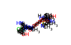 Cc1ncsc1-c1ccc([C@H](C)NC(=O)[C@@H]2C[C@@H](O)CN2C(=O)[C@@H](NC(=O)COCCOCCOCCOCCN(C)C(=O)CCNc2nc(C3CCNCC3)c3cc(Cl)c(-c4cc(O)cc5ccccc45)c(F)c3n2)C(C)(C)C)cc1